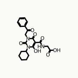 O=C(O)CNC(=O)c1c(O)n(C2CCCCC2)c(=O)n(CC(=O)c2ccccc2)c1=O